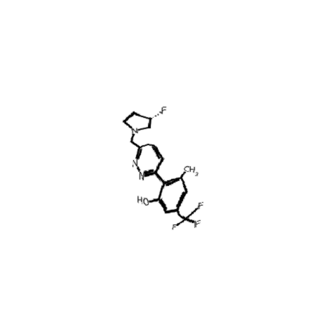 Cc1cc(C(F)(F)F)cc(O)c1-c1ccc(CN2CC[C@H](F)C2)nn1